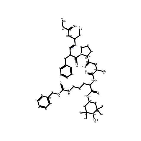 CC(C)CC(/C=C/C(Cc1ccccc1)C(=O)N1CCC[C@H]1C(=O)NC(C(=O)NC(CCCNC(=O)OCc1ccccc1)C(=O)NC1CC(C)(C)N(O)C(C)(C)C1)C(C)C)NC(=O)OC(C)(C)C